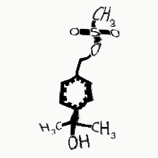 CC(C)(O)c1ccc(COS(C)(=O)=O)cc1